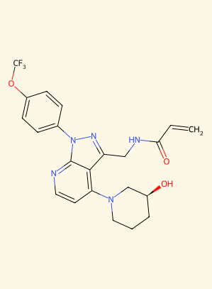 C=CC(=O)NCc1nn(-c2ccc(OC(F)(F)F)cc2)c2nccc(N3CCC[C@H](O)C3)c12